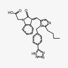 CCCCc1ncc(/C=C2/C(=O)N(CC(=O)O)c3ccccc32)n1Cc1ccc(-c2nnn[nH]2)cc1